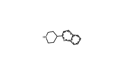 c1ccc2nc(C3CCNCC3)ccc2c1